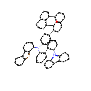 c1ccc(-c2cccc3cccc(-c4ccccc4-c4ccc(N(c5ccccc5-c5ccccc5-n5c6ccccc6c6ccccc65)c5cccc6c5sc5ccccc56)cc4)c23)cc1